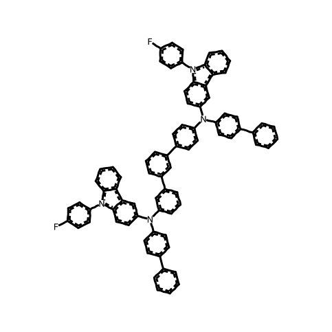 Fc1ccc(-n2c3ccccc3c3cc(N(c4ccc(-c5ccccc5)cc4)c4ccc(-c5cccc(-c6cccc(N(c7ccc(-c8ccccc8)cc7)c7ccc8c(c7)c7ccccc7n8-c7ccc(F)cc7)c6)c5)cc4)ccc32)cc1